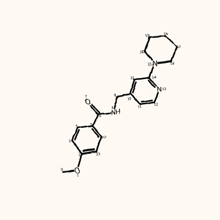 COc1ccc(C(=O)NCc2ccnc(N3CCCCC3)c2)cc1